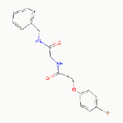 O=C(CNC(=O)COc1ccc(Br)cc1)NCc1ccccc1